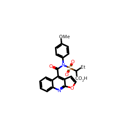 CCC(C(=O)O)S(=O)(=O)N(C(=O)c1c2ccccc2nc2occc12)c1ccc(OC)cc1